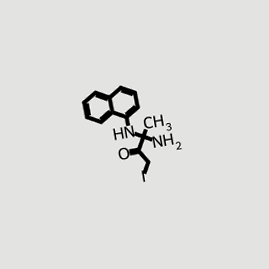 CC(N)(Nc1cccc2ccccc12)C(=O)CI